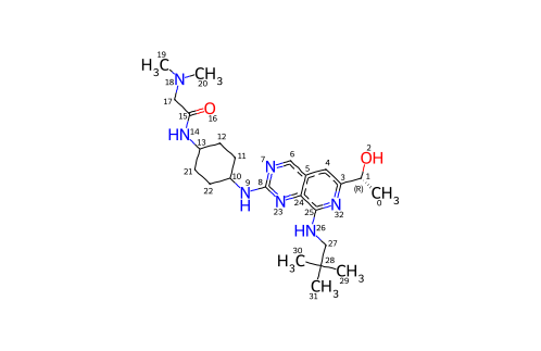 C[C@@H](O)c1cc2cnc(NC3CCC(NC(=O)CN(C)C)CC3)nc2c(NCC(C)(C)C)n1